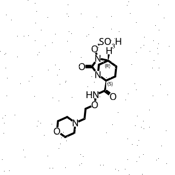 O=C(NOCCN1CCOCC1)[C@@H]1CC[C@@H]2CN1C(=O)N2OS(=O)(=O)O